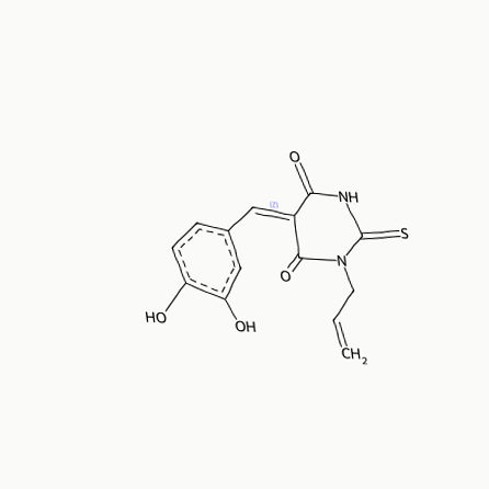 C=CCN1C(=O)/C(=C\c2ccc(O)c(O)c2)C(=O)NC1=S